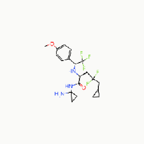 COc1ccc([C@H](N[C@@H](CC(F)(F)CC2CC2)C(=O)NC2(N)CC2)C(F)(F)F)cc1